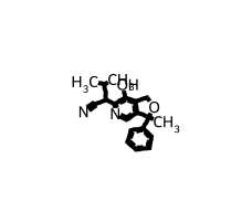 CC(C)C(C#N)c1ncc2c(c1O)COC2(C)c1ccccc1